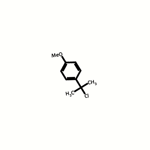 COc1ccc(C(C)(C)Cl)cc1